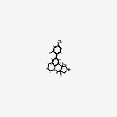 Cc1cc(C#N)ccc1-c1cc2c3c(c1)[C@@H]1CNC[C@@H]1CN3CCC2